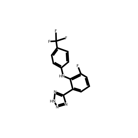 Fc1cccc(-c2nn[nH]n2)c1Nc1ccc(C(F)(F)F)cc1